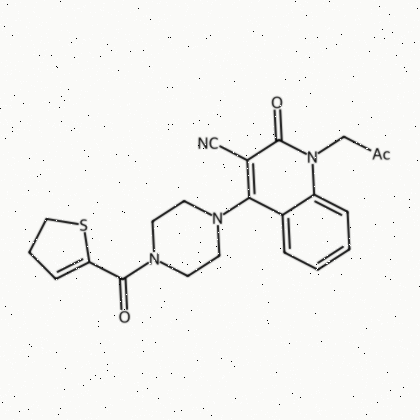 CC(=O)Cn1c(=O)c(C#N)c(N2CCN(C(=O)C3=CCCS3)CC2)c2ccccc21